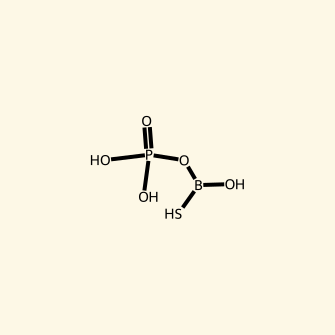 O=P(O)(O)OB(O)S